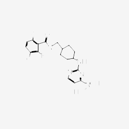 Cc1ccc(Cl)c(C(=O)NCC2CCC(Nc3nccc(N(C)C)n3)CC2)c1F